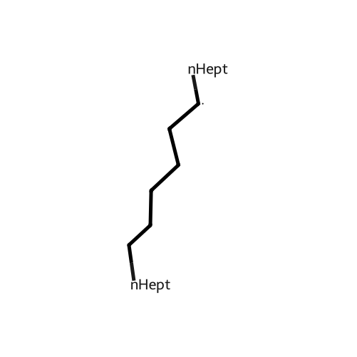 CCCCCCC[CH]CCCCCCCCCCCC